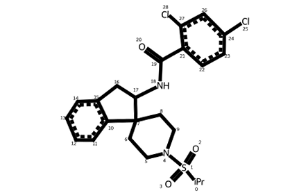 CC(C)S(=O)(=O)N1CCC2(CC1)c1ccccc1CC2NC(=O)c1ccc(Cl)cc1Cl